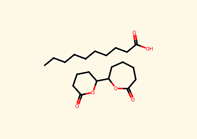 CCCCCCCCCC(=O)O.O=C1CCCCC(C2CCCC(=O)O2)O1